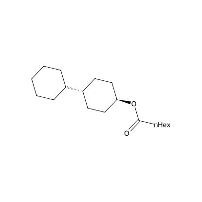 CCCCCCC(=O)O[C@H]1CC[C@H](C2CCCCC2)CC1